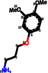 COc1ccc(OCCCN)cc1OC